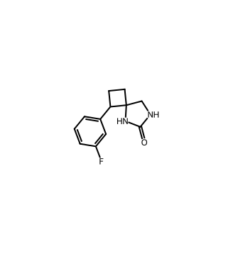 O=C1NCC2(CCC2c2cccc(F)c2)N1